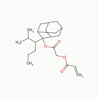 C=CC(=O)OCC(=O)OC1(C(CCC)C(C)C)C2CC3CC(C2)CC1C3